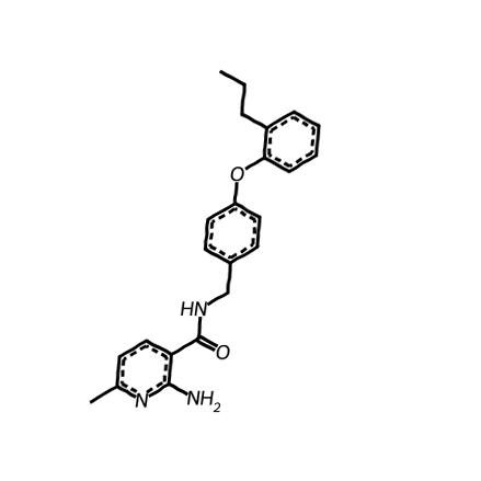 CCCc1ccccc1Oc1ccc(CNC(=O)c2ccc(C)nc2N)cc1